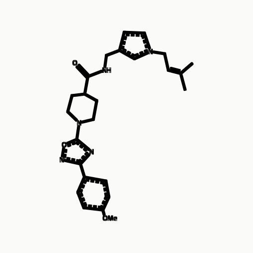 COc1ccc(-c2noc(N3CCC(C(=O)NCc4ccn(CC=C(C)C)c4)CC3)n2)cc1